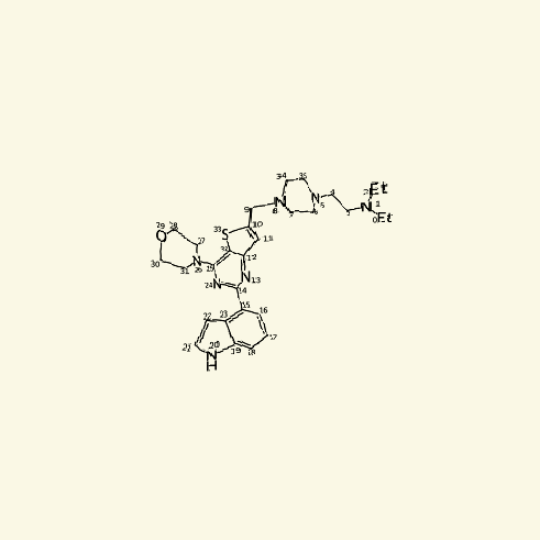 CCN(CC)CCN1CCN(Cc2cc3nc(-c4cccc5[nH]ccc45)nc(N4CCOCC4)c3s2)CC1